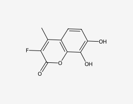 Cc1c(F)c(=O)oc2c(O)c(O)ccc12